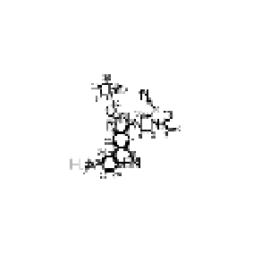 C=CC(=O)N1CCN(c2nc(OC[C@@H]3CCCN3C)nc3cc(-c4cc(N)ccc4F)c(C#N)cc23)C[C@@H]1CC#N